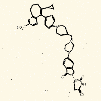 O=C1CC[C@H](N2Cc3cc(N4CCN(CC5CCN(c6ccc(C7=C(C8CC8)CCCc8cc(C(=O)O)ccc87)cc6)CC5)CC4)ccc3C2=O)C(=O)N1